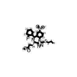 CCCSc1nnc2n1-c1ccc([N+](=O)[O-])cc1C(c1ccccc1F)=N[C@H]2CCC(=O)OC